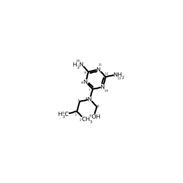 CC(C)CN(CO)c1nc(N)nc(N)n1